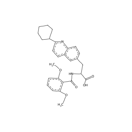 COc1cccc(OC)c1C(=O)NC(Cc1ccc2nc(C3CCCCC3)ccc2c1)C(=O)O